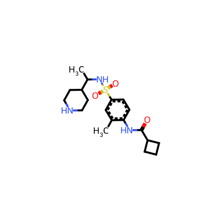 Cc1cc(S(=O)(=O)NC(C)C2CCNCC2)ccc1NC(=O)C1CCC1